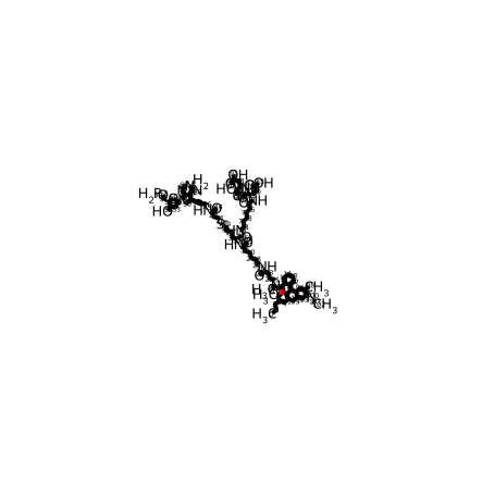 CCCc1cc2c(cc1C)C(c1ccccc1C(=O)N(C)CCCC(=O)NCCCCCC(=O)NC(CCCSSCCC(=O)NCC#Cc1cn([C@H]3CC(O)[C@@H](COP)O3)c3ncnc(N)c13)C(=O)NCCCCCC(=O)NC(CC(=O)O)C(=O)NC(CC(=O)O)C(=O)O)C1C=C(C)/C(=N/CC)C=C1C2